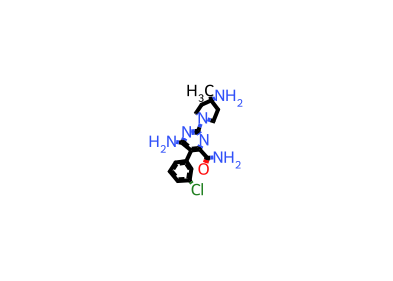 CC1(N)CCN(c2nc(N)c(-c3cccc(Cl)c3)c(C(N)=O)n2)CC1